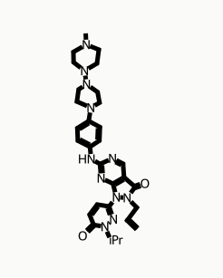 C=CCn1c(=O)c2cnc(Nc3ccc(N4CCN(N5CCN(C)CC5)CC4)cc3)nc2n1-c1ccc(=O)n(C(C)C)n1